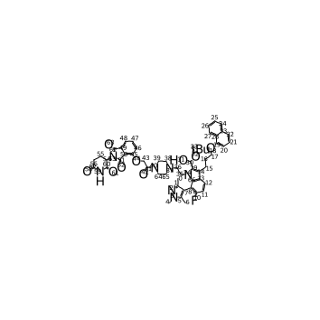 Cc1nn(C)c(C)c1-c1c(F)ccc2c(CCCOc3cccc4ccccc34)c(C(O)OC(C)(C)C)n(CCN3CCN(C(=O)COc4cccc5c4C(=O)N(C4CCC(=O)NC4=O)C5=O)CC3)c12